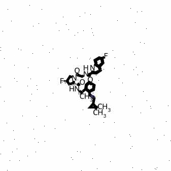 C[C@H](NC(=O)[C@@H]1C[C@@H](F)CN1C(=O)CNC(=O)c1ccc2cc(F)ccc2n1)c1ccccc1/C=C/C1CC1(C)C